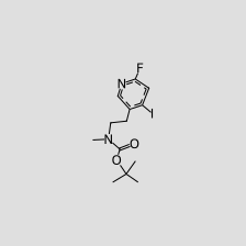 CN(CCc1cnc(F)cc1I)C(=O)OC(C)(C)C